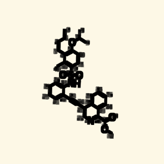 C=C/C=C\c1c(OC(C)C)ccc(S(=O)(=O)Nc2ccccc2C#Cc2cnc(C(=O)OC)c3ccccc23)c1C